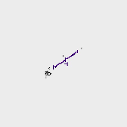 I[IH]I.[Rb]